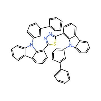 c1ccc(-c2cccc(-n3c4ccccc4c4cccc(-c5nnc(-c6cccc7c8ccccc8n(-c8cccc(-c9ccccc9)c8)c67)s5)c43)c2)cc1